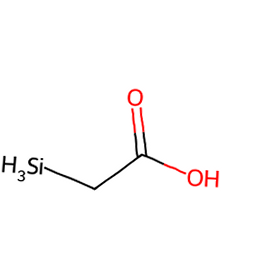 O=C(O)C[SiH3]